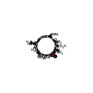 CCCC[C@@H]1NC(=O)[C@@H]2CCCN2C(=O)[C@H](C)NC(=O)[C@H](CCCNC(=N)N)NC(=O)/C=N/OCCCCCCOc2cc(CSC)cc(c2)CSC[C@@H](C(N)=O)NC(=O)[C@H](CCC(=O)O)NC(=O)[C@H](CCC(N)=O)NC(=O)[C@H](Cc2c[nH]c3ccccc23)NC(=O)[C@H]([C@@H](C)CC)NC(=O)[C@H](CC(=O)O)NC1=O